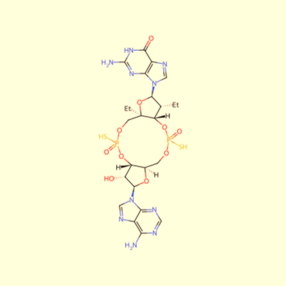 CC[C@H]1[C@H](n2cnc3c(=O)[nH]c(N)nc32)O[C@]2(CC)COP(=O)(S)O[C@H]3[C@@H](O)[C@H](n4cnc5c(N)ncnc54)O[C@@H]3COP(=O)(S)O[C@@H]12